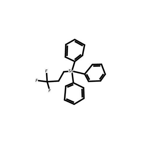 FC(F)(F)C[CH2][Sn]([c]1ccccc1)([c]1ccccc1)[c]1ccccc1